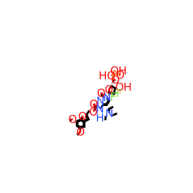 CCN(CC)CC.COc1cc(OC)c2oc(COC(=O)Nc3ccn([C@@H]4O[C@H](COP(=O)(O)O)[C@@H](O)C4(F)F)c(=O)n3)cc2c1